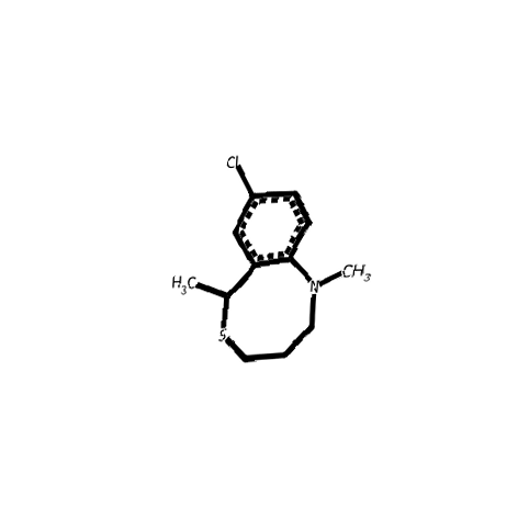 CC1SCCCN(C)c2ccc(Cl)cc21